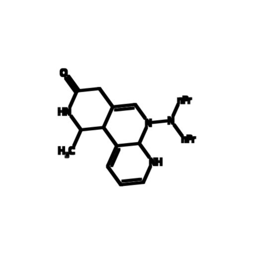 CCCN(CCC)N1C=C2CC(=O)NC(C)C2C2=CC=CNC21